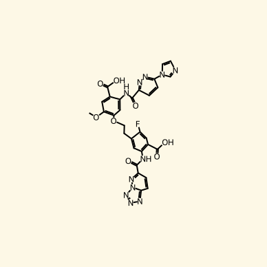 COc1cc(C(=O)O)c(NC(=O)c2ccc(-n3ccnc3)nn2)cc1OCCc1cc(NC(=O)c2ccc3nnnn3n2)c(C(=O)O)cc1F